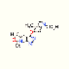 CCC(=O)N1Cc2ncnc(Oc3ccc4c(ccn4C(=O)O)c3C)c2C[C@@H]1C